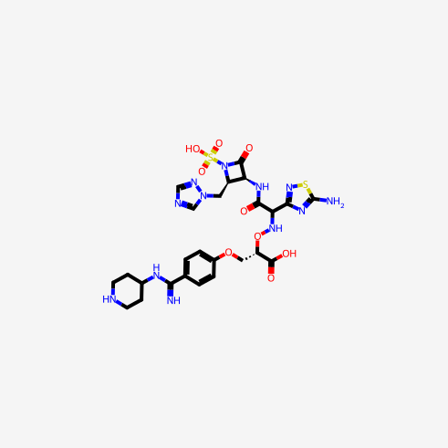 N=C(NC1CCNCC1)c1ccc(OC[C@H](ONC(C(=O)N[C@@H]2C(=O)N(S(=O)(=O)O)[C@@H]2Cn2cncn2)c2nsc(N)n2)C(=O)O)cc1